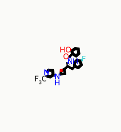 O=C(NC[C@@H](Cc1ccc(F)cc1)C12CC(Nc3ccnc(C(F)(F)F)c3)(C1)C2)c1ccccc1O